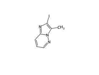 Cc1c(I)nc2cccnn12